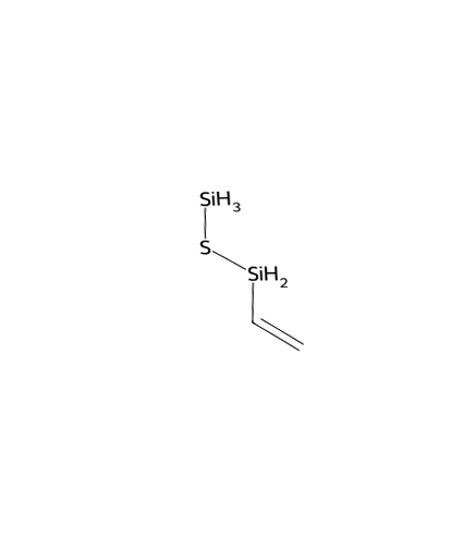 C=C[SiH2]S[SiH3]